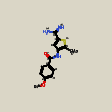 CCOc1ccc(C(=O)Nc2cc(C(=N)N)sc2SC)cc1